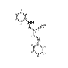 N#CC(=C\Nc1ccccc1)/C=N/c1ccccc1